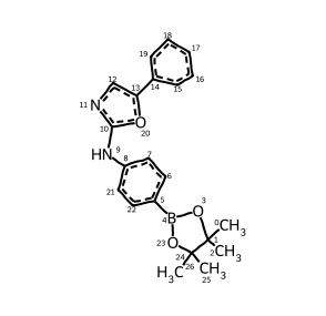 CC1(C)OB(c2ccc(Nc3ncc(-c4ccccc4)o3)cc2)OC1(C)C